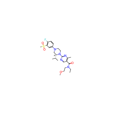 CCN(CCOC)C(=O)c1cnc(N2CCN(c3ccc(F)c(S(C)(=O)=O)c3)C[C@H]2C(C)C)nc1C